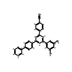 N#Cc1ccc(-c2nc(-c3ccc(-c4cccnc4)cc3)nc(-c3cc(Br)cc(Br)c3)n2)cc1